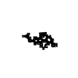 Cc1ccc(O)c(C)c1C1C=C2C=C(OC3CC3)N=C2N1N